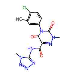 Cn1nnnc1NC(=O)c1nn(C)c(=O)n(-c2ccc(Cl)c(C#N)c2)c1=O